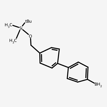 Bc1ccc(-c2ccc(CO[Si](C)(C)C(C)(C)C)cc2)cc1